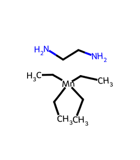 C[CH2][Mn]([CH2]C)([CH2]C)[CH2]C.NCCN